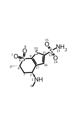 CN[C@H]1C[C@H](C)S(=O)(=O)c2sc(S(N)(=O)=O)cc21